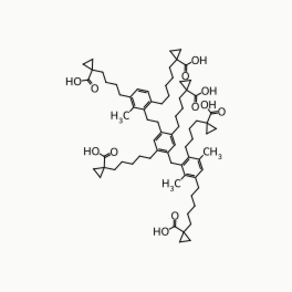 Cc1cc(CCCCCC2(C(=O)O)CC2)c(C)c(Cc2cc(CCCCC3(C(=O)O)CC3)c(CCc3c(CCCCCC4(C(=O)O)CC4)ccc(CCCCC4(C(=O)O)CC4)c3C)cc2CCCCCC2(C(=O)O)CC2)c1CCCCC1(C(=O)O)CC1